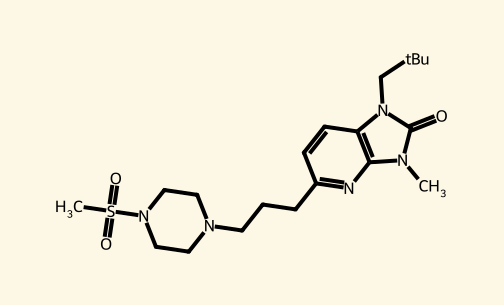 Cn1c(=O)n(CC(C)(C)C)c2ccc(CCCN3CCN(S(C)(=O)=O)CC3)nc21